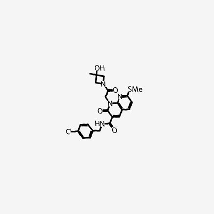 CSc1ccc2cc(C(=O)NCc3ccc(Cl)cc3)c(=O)n(CC(=O)N3CC(C)(O)C3)c2n1